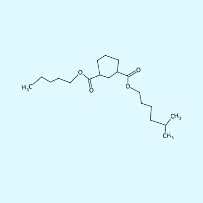 CCCCCOC(=O)C1CCCC(C(=O)OCCCCC(C)C)C1